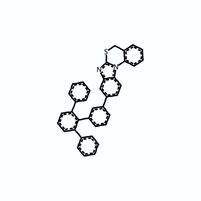 c1ccc(-c2cccc(-c3ccccc3)c2-c2cccc(-c3ccc4c(c3)nc3n4-c4ccccc4CS3)c2)cc1